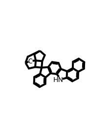 c1ccc2c(c1)-c1c(ccc3c1[nH]c1ccc4ccccc4c13)C21C2CC3CC4CC1C2(C3)C4